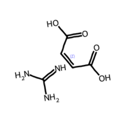 N=C(N)N.O=C(O)/C=C\C(=O)O